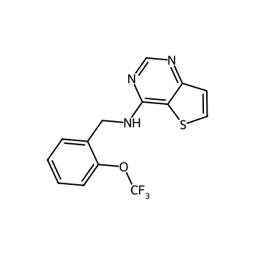 FC(F)(F)Oc1ccccc1CNc1ncnc2ccsc12